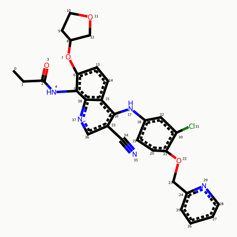 CCC(=O)Nc1c(OC2CCOC2)ccc2c(Nc3ccc(OCc4ccccn4)c(Cl)c3)c(C#N)cnc12